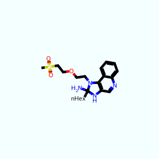 CCCCCCC1(N)Nc2cnc3ccccc3c2N1CCOCCS(C)(=O)=O